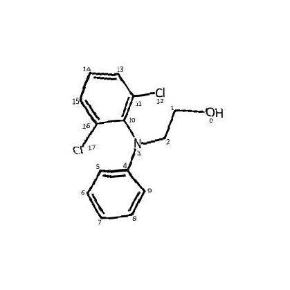 OCCN(c1ccccc1)c1c(Cl)cccc1Cl